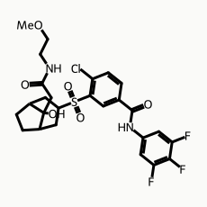 COCCNC(=O)CC1(O)C2CCC1CC(S(=O)(=O)c1cc(C(=O)Nc3cc(F)c(F)c(F)c3)ccc1Cl)C2